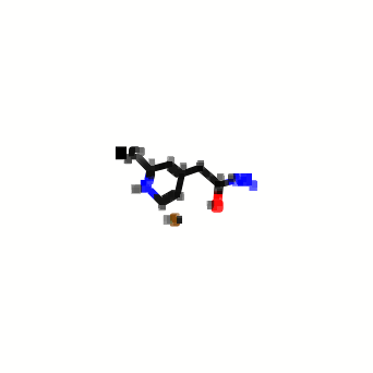 Cc1cc(CC(N)=O)ccn1.[S]